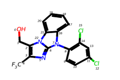 OCc1c(C(F)(F)F)nc2n(-c3ccc(Cl)cc3Cl)c3ccccc3n12